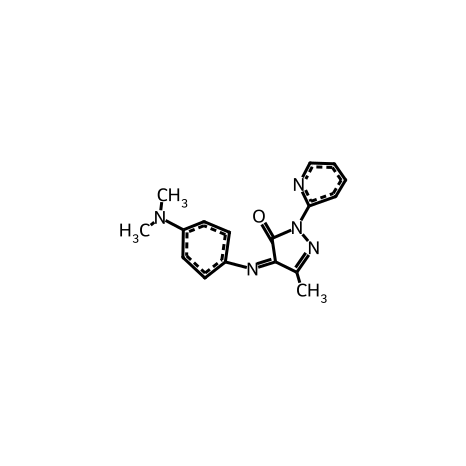 CC1=NN(c2ccccn2)C(=O)C1=Nc1ccc(N(C)C)cc1